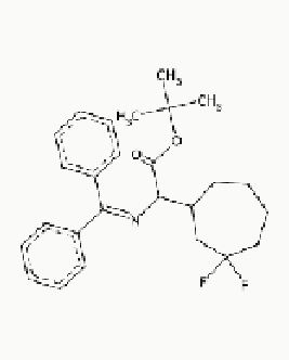 CC(C)(C)OC(=O)C(N=C(c1ccccc1)c1ccccc1)C1CCCCC(F)(F)C1